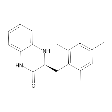 Cc1cc(C)c(C[C@@H]2Nc3ccccc3NC2=O)c(C)c1